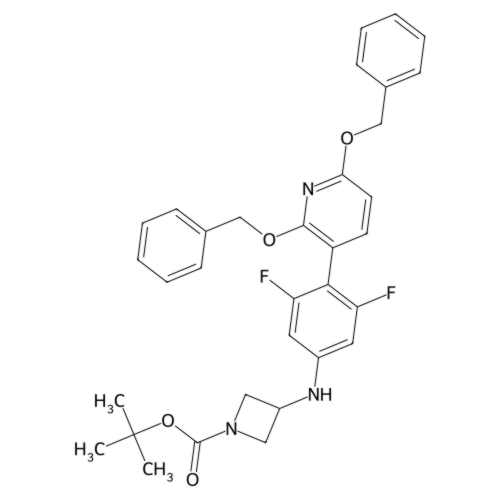 CC(C)(C)OC(=O)N1CC(Nc2cc(F)c(-c3ccc(OCc4ccccc4)nc3OCc3ccccc3)c(F)c2)C1